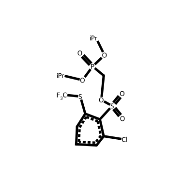 CC(C)OP(=O)(COS(=O)(=O)c1c(Cl)cccc1SC(F)(F)F)OC(C)C